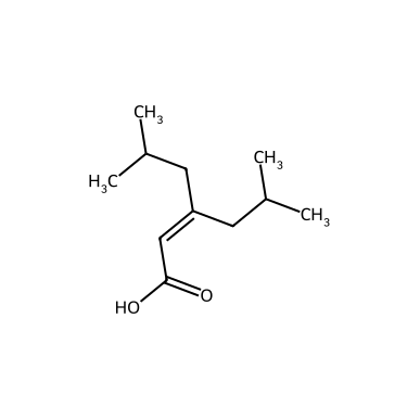 CC(C)CC(=CC(=O)O)CC(C)C